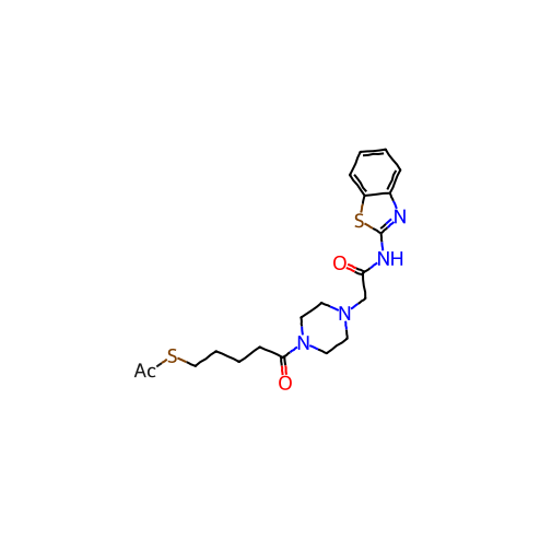 CC(=O)SCCCCC(=O)N1CCN(CC(=O)Nc2nc3ccccc3s2)CC1